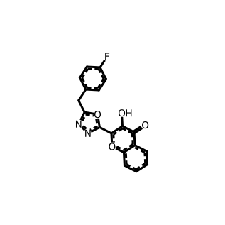 O=c1c(O)c(-c2nnc(Cc3ccc(F)cc3)o2)oc2ccccc12